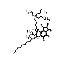 CCCCCCCCC[Si](CCCCCC[Si](CCC)(CCC)CCC)(Oc1c(F)c(F)c2c(c1F)C(F)=C(F)[C]2F)C(C)C